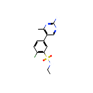 Cc1nc(N)ncc1-c1ccc(Cl)c(S(=O)(=O)NCC(C)(C)C)c1